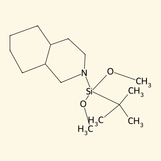 CO[Si](OC)(N1CCC2CCCCC2C1)C(C)(C)C